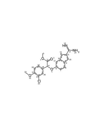 COC(=O)C(Oc1ccc2cc(C(=N)N)sc2c1)c1ccc(OC)c(Cl)c1